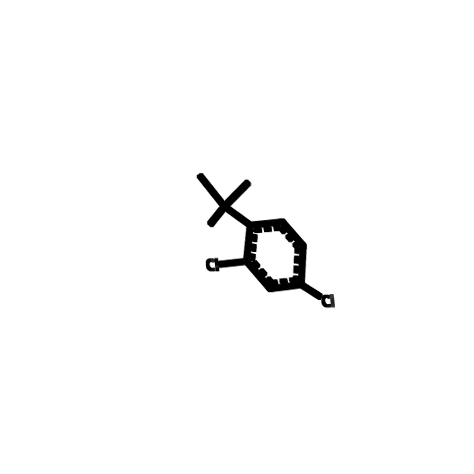 CC(C)(C)c1ccc(Cl)cc1Cl